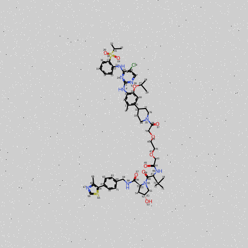 Cc1cc(Nc2ncc(Cl)c(Nc3ccccc3S(=O)(=O)C(C)C)n2)c(OC(C)C)cc1C1CCN(C(=O)COCCOCC(=O)NC(C(=O)N2C[C@H](O)C[C@H]2C(=O)NCc2ccc(-c3scnc3C)cc2)C(C)(C)C)CC1